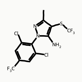 Cc1nn(-c2c(Cl)cc(C(F)(F)F)cc2Cl)c(N)c1SC(F)(F)F